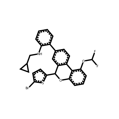 FC(F)Oc1cccc2c1-c1ccc(-c3ccccc3NCC3CC3)cc1C(c1ccc(Br)s1)O2